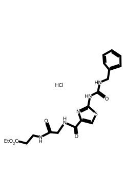 CCOC(=O)CCNC(=O)CNC(=O)c1csc(NC(=O)NCc2ccccc2)n1.Cl